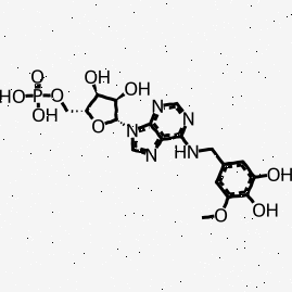 COc1cc(CNc2ncnc3c2ncn3[C@@H]2O[C@H](COP(=O)(O)O)[C@@H](O)[C@H]2O)cc(O)c1O